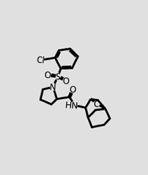 O=C(NC1C2CCCC3(C2)CC1C3)C1CCCN1S(=O)(=O)c1ccccc1Cl